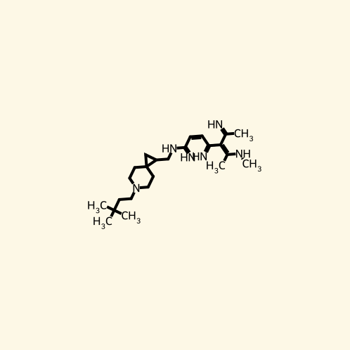 CN/C(C)=C(\C(C)=N)C(=N)/C=C\C(=N)NCC1CC12CCN(CCC(C)(C)C)CC2